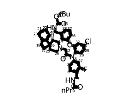 CCCC(=O)NCc1ccc(N(C(=O)CN2CCC3(C=Cc4ccccc43)CC2)c2ccc(Cl)cc2Oc2cccc(CNC(=O)OC(C)(C)C)c2)cc1F